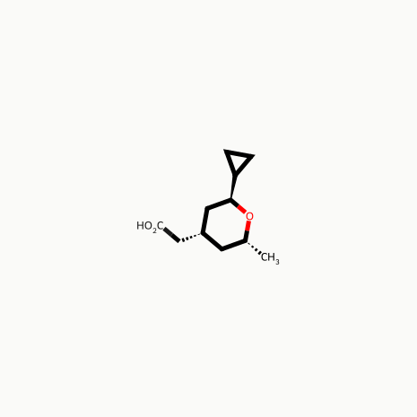 C[C@@H]1C[C@H](CC(=O)O)C[C@@H](C2CC2)O1